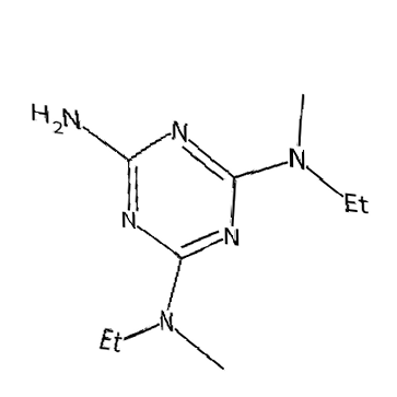 CCN(C)c1nc(N)nc(N(C)CC)n1